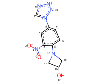 O=[N+]([O-])c1cc(-n2cnnn2)ccc1N1CC(O)C1